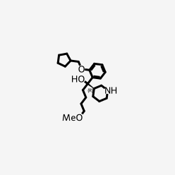 COCCCCC(O)(c1ccccc1OCC1CCCC1)[C@@H]1CCCNC1